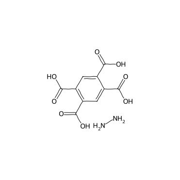 NN.O=C(O)c1cc(C(=O)O)c(C(=O)O)cc1C(=O)O